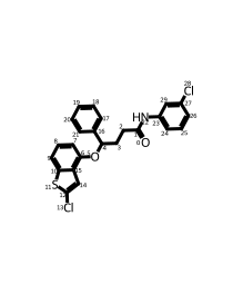 O=C(CCC(Oc1cccc2sc(Cl)cc12)c1ccccc1)Nc1cccc(Cl)c1